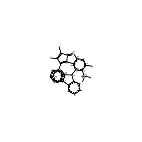 CC1=C(C)C(c2ccccc2)=C2C1=Nc1cc(C)c([SiH](C)C)c(C3c4ccccc4-c4ccccc43)c12